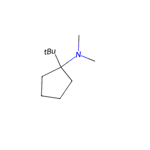 CN(C)C1(C(C)(C)C)CCCC1